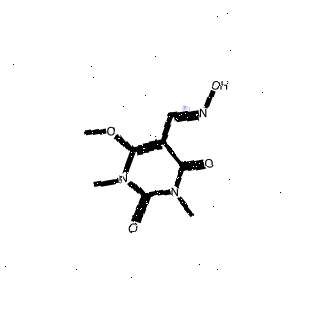 COc1c(/C=N/O)c(=O)n(C)c(=O)n1C